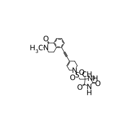 CN1CCc2c(C#CC3=CCN(S(=O)(=O)CC4(C)NC(=O)NC4=O)CC3)cccc2C1=O